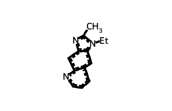 CCn1c(C)nc2cc3ncccc3cc21